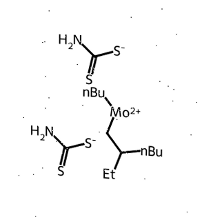 CCC[CH2][Mo+2][CH2]C(CC)CCCC.NC(=S)[S-].NC(=S)[S-]